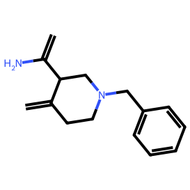 C=C(N)C1CN(Cc2ccccc2)CCC1=C